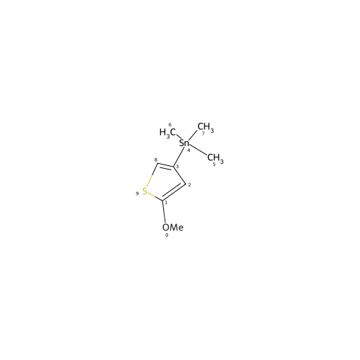 COc1c[c]([Sn]([CH3])([CH3])[CH3])cs1